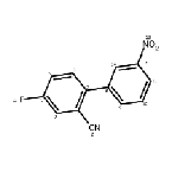 N#Cc1cc(F)ccc1-c1cccc([N+](=O)[O-])c1